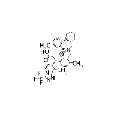 Cc1ccc2c(c1)[S+]([O-])N(Cc1cc(C(CC(=O)O)c3ccn4c(C(F)(F)F)nnc4c3C)ccc1C)CC1CCCCN21